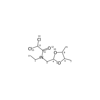 CCN(CC1OC(C)C(C)O1)C(=O)C(Cl)Cl